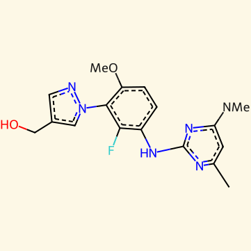 CNc1cc(C)nc(Nc2ccc(OC)c(-n3cc(CO)cn3)c2F)n1